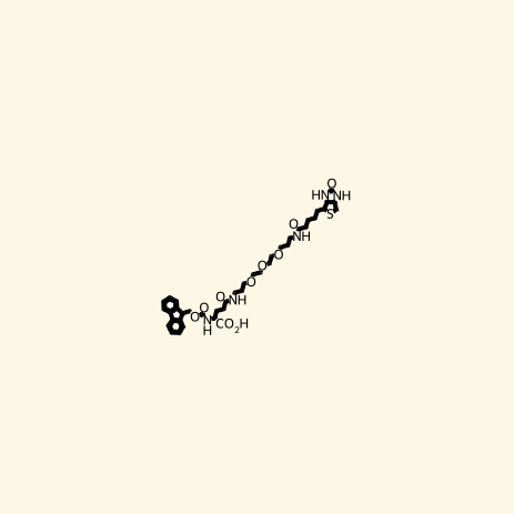 O=C(CCCCC1SCC2NC(=O)NC21)NCCCOCCOCCOCCCNC(=O)CCC(NC(=O)OCC1c2ccccc2-c2ccccc21)C(=O)O